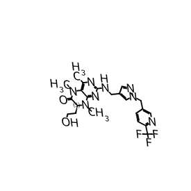 Cc1nc(NCc2cnn(Cc3ccc(C(F)(F)F)nc3)c2)nc2c1N(C)C(=O)[C@H](CCO)N2C